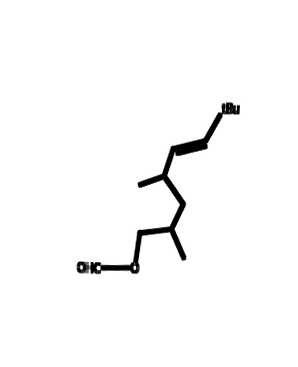 CC(/C=C/C(C)(C)C)CC(C)COC=O